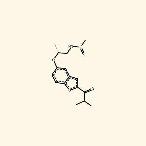 CC(C)C(=O)c1cc2cc(O[C@H](C)CNS(C)=S)ccc2o1